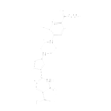 CNC(=O)c1ccc(N2CCN(C3C=C(c4ncc(C(F)F)c(=O)[nH]4)CC3)CC2)c(F)n1